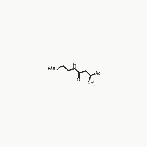 COCCNC(=O)CC(C)C(C)=O